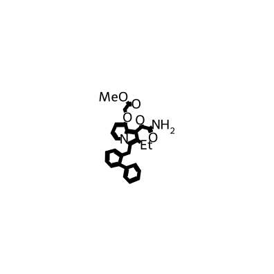 CCc1c(C(=O)C(N)=O)c2c(OCC(=O)OC)cccn2c1Cc1ccccc1-c1ccccc1